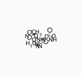 C[C@@H](OC(=O)Nc1c(-c2ccc3c(n2)OC(c2ccccc2)C(=O)N3)nnn1C)c1cccnc1Cl